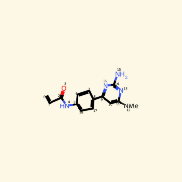 C=CC(=O)Nc1ccc(-c2cc(NC)nc(N)n2)cc1